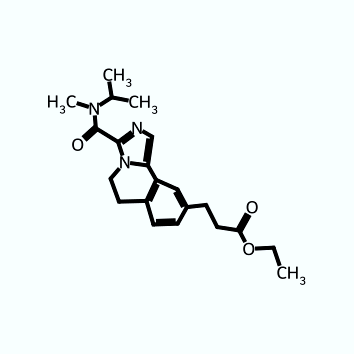 CCOC(=O)CCc1ccc2c(c1)-c1cnc(C(=O)N(C)C(C)C)n1CC2